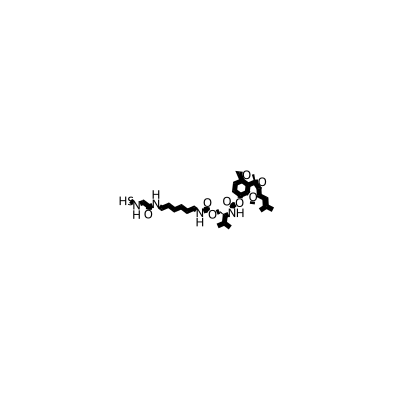 COC1C(OC(=O)N[C@@H](COC(=O)NCCCCCCNC(=O)CNS)C(C)C)CCC2(CO2)C1[C@]1(C)OC1CC=C(C)C